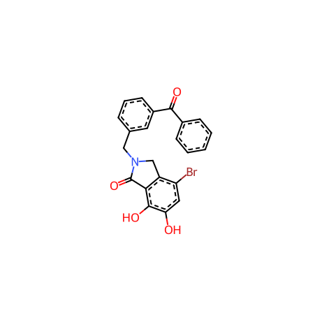 O=C(c1ccccc1)c1cccc(CN2Cc3c(Br)cc(O)c(O)c3C2=O)c1